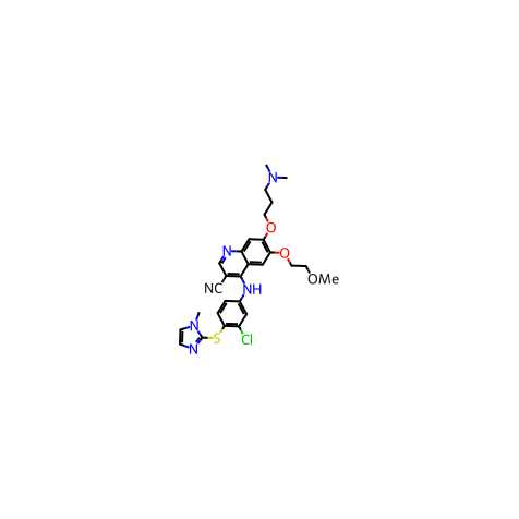 COCCOc1cc2c(Nc3ccc(Sc4nccn4C)c(Cl)c3)c(C#N)cnc2cc1OCCCN(C)C